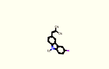 CCn1c2ccc(I)cc2c2cc(C=C(C#N)C#N)ccc21